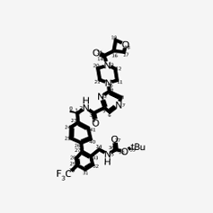 C[C@@H](NC(=O)c1cncc(N2CCN(C(=O)C3COC3)CC2)n1)c1ccc(-c2cc(C(F)(F)F)ccc2CNC(=O)OC(C)(C)C)cc1